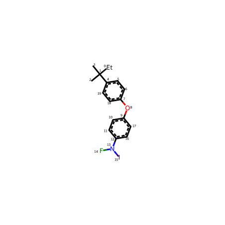 CCC(C)(C)c1ccc(Oc2ccc(N(F)I)cc2)cc1